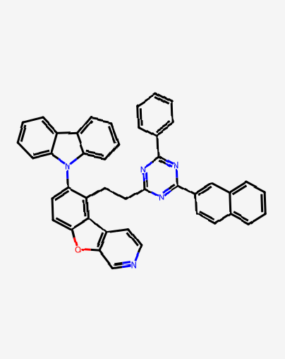 c1ccc(-c2nc(CCc3c(-n4c5ccccc5c5ccccc54)ccc4oc5cnccc5c34)nc(-c3ccc4ccccc4c3)n2)cc1